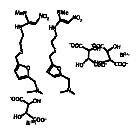 CNC(=C[N+](=O)[O-])NCCSCc1ccc(CN(C)C)o1.CNC(=C[N+](=O)[O-])NCCSCc1ccc(CN(C)C)o1.O=C([O-])C(O)C(O)C(=O)[O-].O=C([O-])C(O)C(O)C(=O)[O-].O=C([O-])C(O)C(O)C(=O)[O-].[Bi+3].[Bi+3]